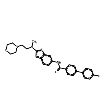 CN(CCN1CCOCC1)c1nc2ccc(NC(=O)c3ccc(-c4ccc(F)cc4)cc3)cc2s1